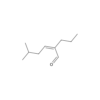 CCCC(C=O)=CCC(C)C